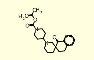 C=C(C)OC(=O)N1CCC(N2CCCC3(CCc4ccccc4C3=O)C2)CC1